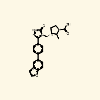 CC1[C@H](Cn2c(-c3ccc(-c4ccc5occc5c4)cc3)n[nH]c2=O)CCN1C(=O)O